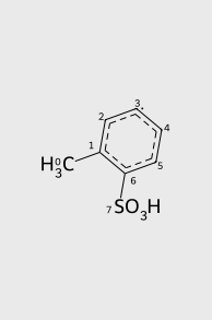 Cc1c[c]ccc1S(=O)(=O)O